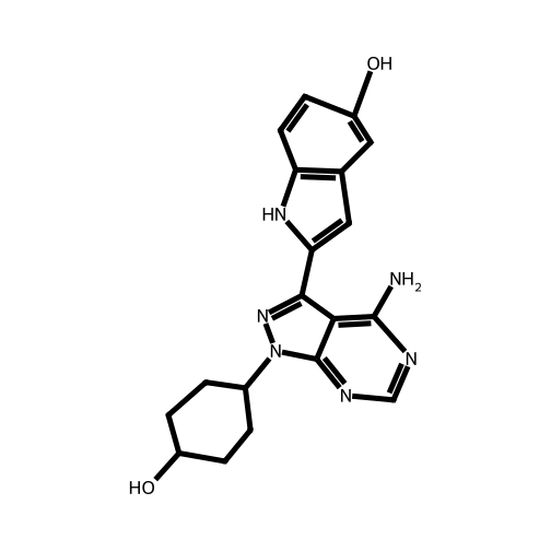 Nc1ncnc2c1c(-c1cc3cc(O)ccc3[nH]1)nn2C1CCC(O)CC1